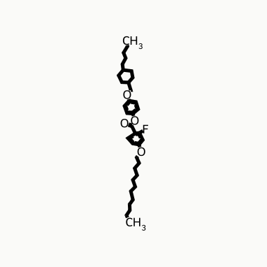 CCCCCCCCCCCCOc1ccc(C(=O)Oc2ccc(OCC3CCC(CCCCC)CC3)cc2)c(F)c1